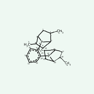 CC1CC2C(C)CC1P2c1ccccc1P1C2CC(C)C1CC2C